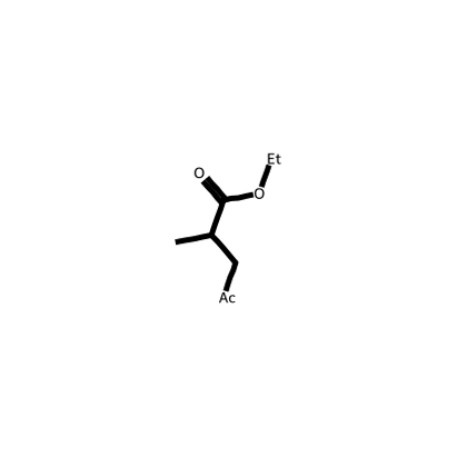 CCOC(=O)C(C)CC(C)=O